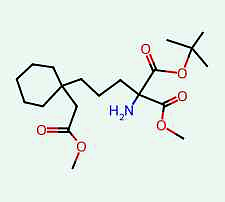 COC(=O)CC1(CCCC(N)(C(=O)OC)C(=O)OC(C)(C)C)CCCCC1